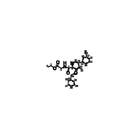 CCOC(=O)CNC(=O)c1ncc(-c2cccc(F)c2)c(C)c1OCc1ccccc1